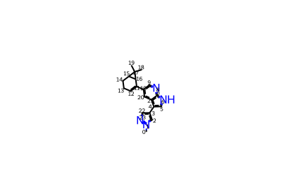 Cn1cc(-c2c[nH]c3ncc(C4=CCCC5C4C5(C)C)cc23)cn1